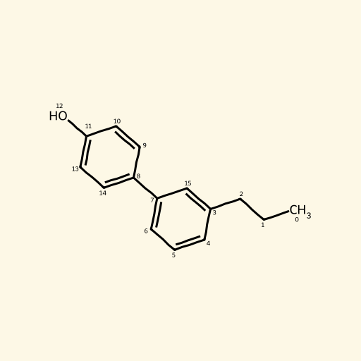 CCCc1cccc(-c2ccc(O)cc2)c1